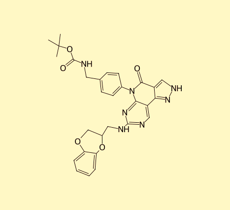 CC(C)(C)OC(=O)NCc1ccc(-n2c(=O)c3c[nH]nc3c3cnc(NCC4COc5ccccc5O4)nc32)cc1